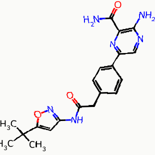 CC(C)(C)c1cc(NC(=O)Cc2ccc(-c3cnc(N)c(C(N)=O)n3)cc2)no1